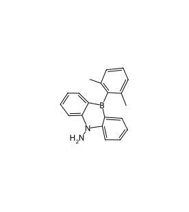 Cc1cccc(C)c1B1c2ccccc2N(N)c2ccccc21